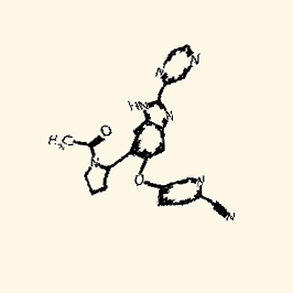 CC(=O)N1CCCC1c1cc2[nH]c(-c3cnccn3)nc2cc1Oc1ccc(C#N)nc1